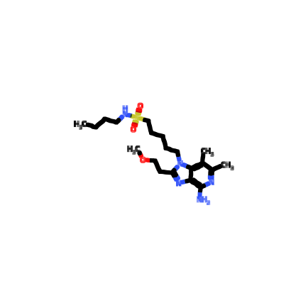 CCCCNS(=O)(=O)CCCCCn1c(CCOC)nc2c(N)nc(C)c(C)c21